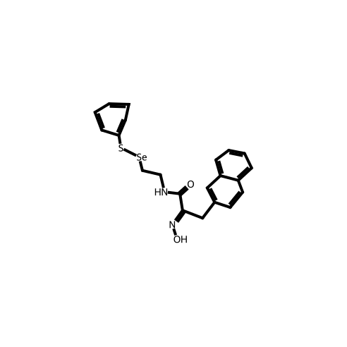 O=C(NCC[Se]Sc1ccccc1)/C(Cc1ccc2ccccc2c1)=N/O